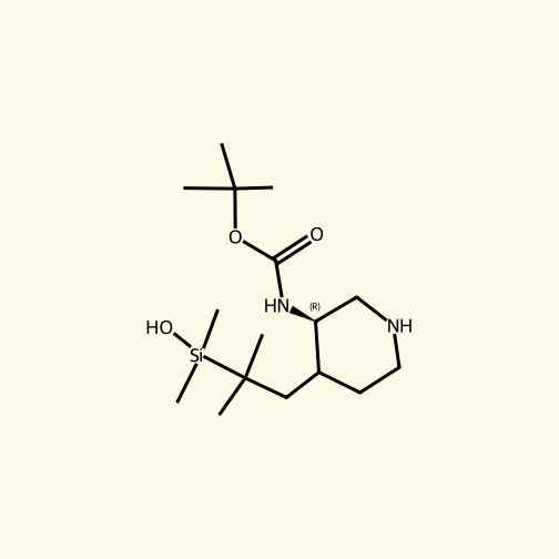 CC(C)(C)OC(=O)N[C@H]1CNCCC1CC(C)(C)[Si](C)(C)O